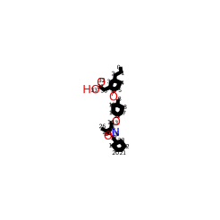 CCCc1ccc(OCc2ccc(OCc3nc(-c4ccccc4)oc3C)cc2)c(CC(=O)O)c1